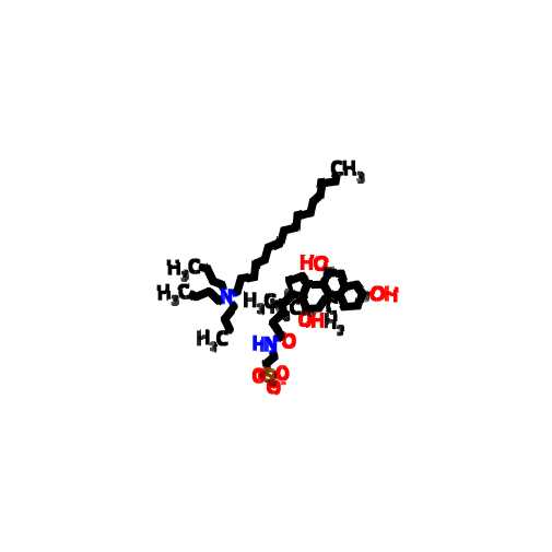 CCCCCCCCCCCCCCCC[N+](CCCC)(CCCC)CCCC.C[C@H](CCC(=O)NCCS(=O)(=O)[O-])[C@H]1CCC2C3C(C[C@H](O)[C@@]21C)[C@@]1(C)CC[C@@H](O)CC1C[C@H]3O